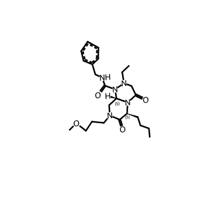 CCCC[C@H]1C(=O)N(CCCOC)C[C@H]2N1C(=O)CN(CC)N2C(=O)NCc1ccccc1